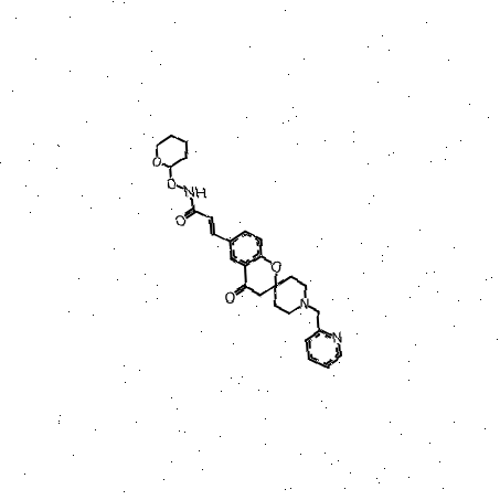 O=C(/C=C/c1ccc2c(c1)C(=O)CC1(CCN(Cc3ccccn3)CC1)O2)NOC1CCCCO1